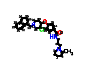 C[C@H]1CCCCN1CCCNC(=O)c1ccc(OC2CCN(Cc3cccc4ccccc34)CC2)c(Cl)c1